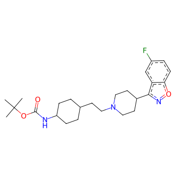 CC(C)(C)OC(=O)NC1CCC(CCN2CCC(c3noc4ccc(F)cc34)CC2)CC1